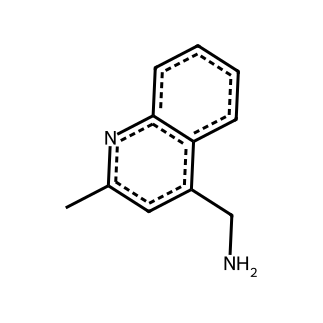 Cc1cc(CN)c2ccccc2n1